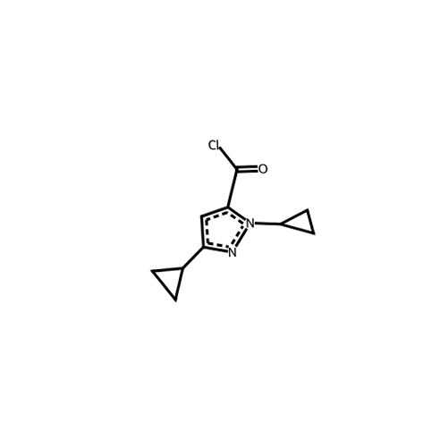 O=C(Cl)c1cc(C2CC2)nn1C1CC1